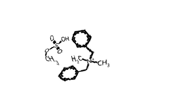 COS(=O)(=O)O.C[N+](C)(Cc1ccccc1)Cc1ccccc1